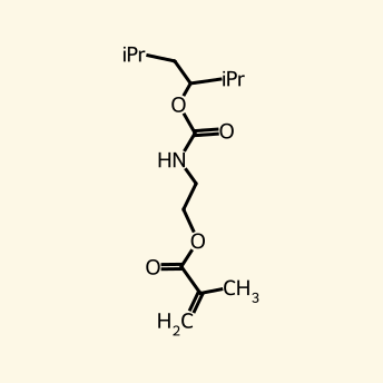 C=C(C)C(=O)OCCNC(=O)OC(CC(C)C)C(C)C